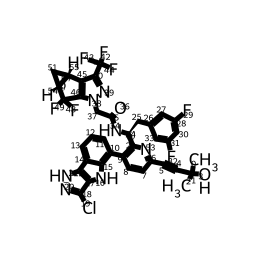 CC(C)(O)C#Cc1ccc(-c2cccc3c2[nH]c2c(Cl)n[nH]c23)c([C@H](Cc2cc(F)cc(F)c2)NC(=O)Cn2nc(C(F)(F)F)c3c2C(F)(F)[C@@H]2C[C@H]32)n1